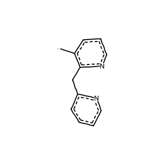 [CH2]c1cccnc1Cc1ccccn1